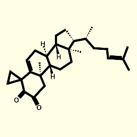 CC(C)=CCC[C@@H](C)[C@H]1CC[C@H]2[C@@H]3CC=C4C5(CC5)C(=O)C(=O)C[C@]4(C)[C@H]3CC[C@]12C